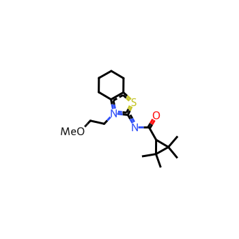 COCCn1c2c(s/c1=N\C(=O)C1C(C)(C)C1(C)C)CCCC2